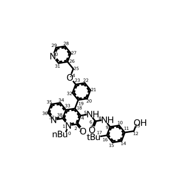 CCCCn1c(=O)c(NC(=O)Nc2cc(CO)ccc2C(C)(C)C)c(-c2cccc(OCc3cccnc3)c2)c2cccnc21